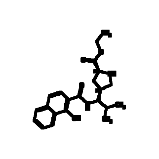 CCOC(=O)[C@@H]1C[C@H](C(NC(=O)c2ccc3ccccc3c2O)C(C)C)CN1